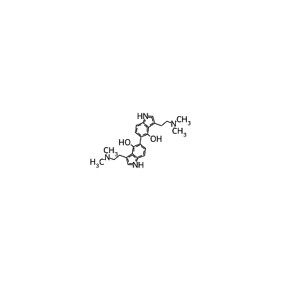 CN(C)CCc1c[nH]c2ccc(-c3ccc4[nH]cc(CCN(C)C)c4c3O)c(O)c12